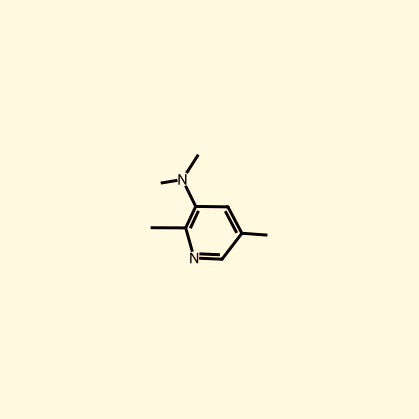 Cc1cnc(C)c(N(C)C)c1